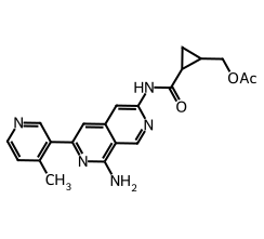 CC(=O)OCC1CC1C(=O)Nc1cc2cc(-c3cnccc3C)nc(N)c2cn1